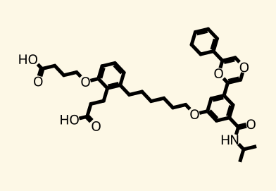 CC(C)NC(=O)c1cc(OCCCCCCc2cccc(OCCCC(=O)O)c2CCC(=O)O)cc(C2=COC=C(C3=CC=CCC3)O2)c1